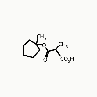 CC(C(=O)O)C(=O)OC1(C)CCCCC1